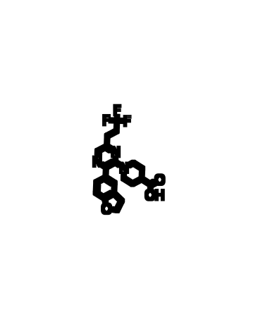 O=C(O)C1CCN(c2nc(CCC(F)(F)F)cnc2-c2ccc3c(c2)CCO3)CC1